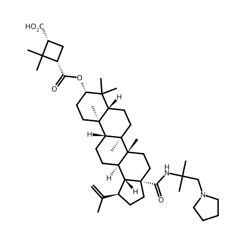 C=C(C)[C@@H]1CC[C@]2(C(=O)NC(C)(C)CN3CCCC3)CC[C@]3(C)[C@H](CC[C@@H]4[C@@]5(C)CC[C@H](OC(=O)[C@H]6C[C@@H](C(=O)O)C6(C)C)C(C)(C)[C@@H]5CC[C@]43C)[C@@H]12